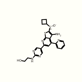 Nc1c([S@@+]([O-])C2CCC2)sc2nc(-c3cnc(NCCO)nc3)cc(-c3ccccn3)c12